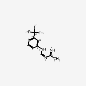 CC(=N)/N=C\Nc1cccc(C(F)(F)F)c1